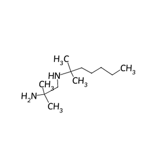 CCCCCC(C)(C)NCC(C)(C)N